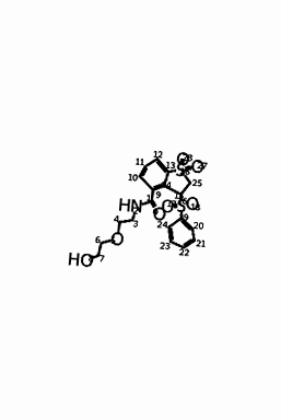 O=C(NCCOCCO)c1cccc2c1C(S(=O)(=O)c1ccccc1)CS2(=O)=O